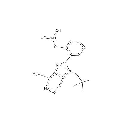 CC(C)(C)Cn1c(-c2ccccc2O[PH](=O)O)nc2c(N)ncnc21